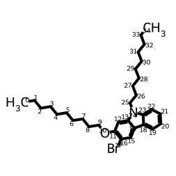 CCCCCCCCCCOc1cc2c(cc1Br)c1ccccc1n2CCCCCCCCCC